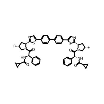 O=C(N[C@@H](C(=O)N1C[C@@H](F)C[C@H]1c1ncc(-c2ccc(-c3ccc(-c4cnc([C@@H]5C[C@H](F)CN5C(=O)[C@H](NC(=O)C5CC5)c5ccccc5)s4)cc3)cc2)s1)c1ccccc1)C1CC1